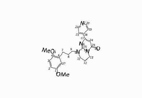 COc1ccc(OC)c(CCCN2CCCn3c2nc(-c2ccncc2)cc3=O)c1